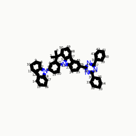 CC1(C)c2cc(-n3c4ccccc4c4ccccc43)ccc2-n2c3ccc(-c4nc(-c5ccccc5)nc(-c5ccccc5)n4)cc3c3cccc1c32